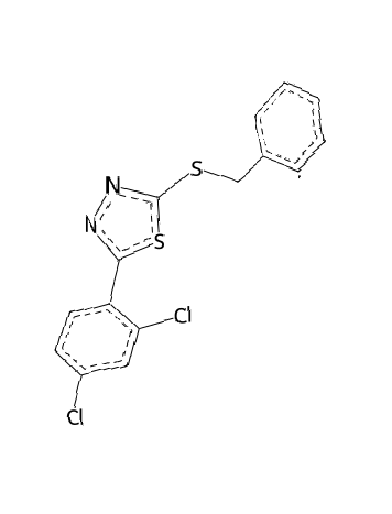 Clc1ccc(-c2nnc(SCc3[c]cccc3)s2)c(Cl)c1